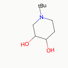 CC(C)(C)N1CCC(O)C(O)C1